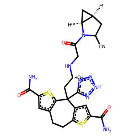 C[C@H](CC1(c2nn[nH]n2)c2cc(C(N)=O)sc2CCc2cc(C(N)=O)sc21)NCC(=O)N1C(C#N)C[C@@H]2C[C@@H]21